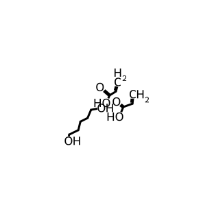 C=CC(=O)O.C=CC(=O)O.OCCCCCO